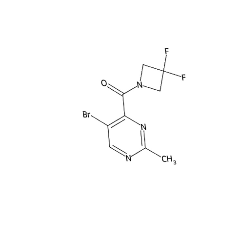 Cc1ncc(Br)c(C(=O)N2CC(F)(F)C2)n1